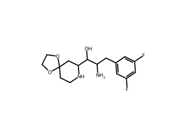 NC(Cc1cc(F)cc(F)c1)C(O)C1CC2(CCN1)OCCO2